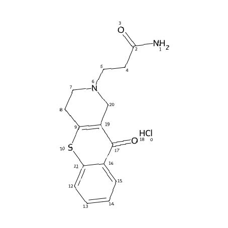 Cl.NC(=O)CCN1CCc2sc3ccccc3c(=O)c2C1